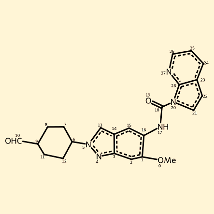 COc1cc2nn(C3CCC(C=O)CC3)cc2cc1NC(=O)n1ccc2cccnc21